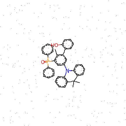 Cc1c(-c2ccccc2O)cc(N2c3ccccc3C(C)(C)c3ccccc32)cc1P(=O)(c1ccccc1)c1ccccc1